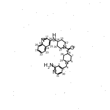 Nc1cc(CN2CCC(C(=O)N3CCC(Nc4cnc5ccccc5c4)CC3)CC2)ccn1